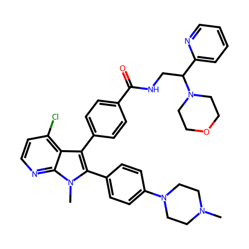 CN1CCN(c2ccc(-c3c(-c4ccc(C(=O)NCC(c5ccccn5)N5CCOCC5)cc4)c4c(Cl)ccnc4n3C)cc2)CC1